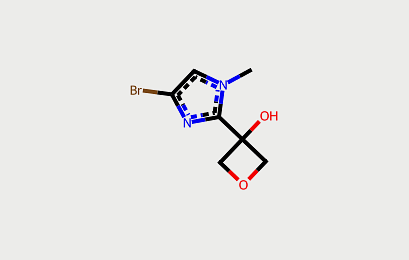 Cn1cc(Br)nc1C1(O)COC1